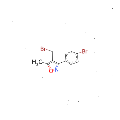 Cc1onc(-c2ccc(Br)cc2)c1CBr